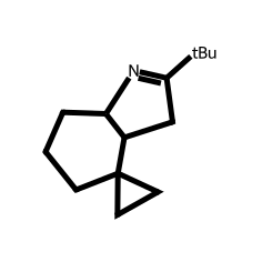 CC(C)(C)C1=NC2CCCC3(CC3)C2C1